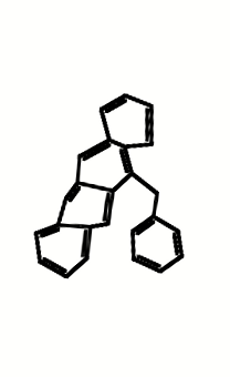 c1ccc(Cc2c3ccccc3cc3cc4ccccc4cc23)cc1